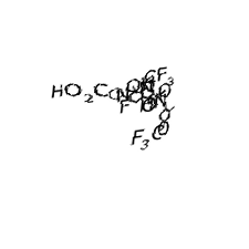 Cc1cc(OC(F)(F)F)ccc1CNC(=O)c1cn(CC(F)(F)F)c2c(O)c(N3CCC(C(=O)O)CC3)c(F)cc2c1=O